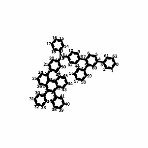 c1ccc(-c2ccc(-c3ccc(N(c4ccccc4)c4ccc(-c5cccc6c(-c7ccccc7)c(-c7ccccc7)c7ccccc7c56)cc4)cc3)c(-c3ccccc3)c2)cc1